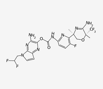 C[C@@]1(c2nc(NC(=O)Oc3nc4ccn(CC(F)F)c4nc3N)ccc2F)CO[C@@](C)(C(F)(F)F)C(N)=N1